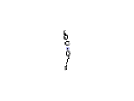 CCCCCCCC[C@H]1CC[C@H](/C=C/[C@H]2CC[C@H](c3ccc(F)cc3)CC2)CC1